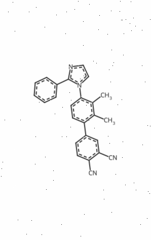 Cc1c(-c2ccc(C#N)c(C#N)c2)ccc(-n2ccnc2-c2ccccc2)c1C